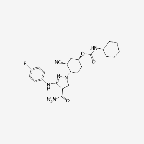 N#C[C@H]1C[C@@H](OC(=O)NC2CCCCC2)CC[C@@H]1N1CC(C(N)=O)C(Nc2ccc(F)cc2)=N1